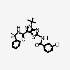 C[C@@H](NC(=O)c1nn(C(C)(C)C)c2nc(NC(=O)c3cccc(Cl)c3)sc12)c1ccccc1